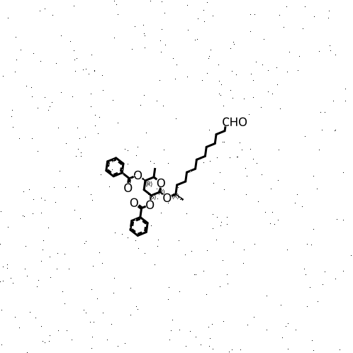 CC1O[C@@H](O[C@H](C)CCCCCCCCCCC=O)[C@@H](OC(=O)c2ccccc2)C[C@H]1OC(=O)c1ccccc1